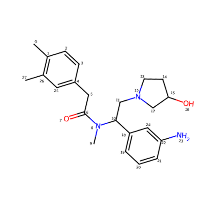 Cc1ccc(CC(=O)N(C)C(CN2CCC(O)C2)c2cccc(N)c2)cc1C